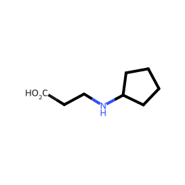 O=C(O)CCNC1CCCC1